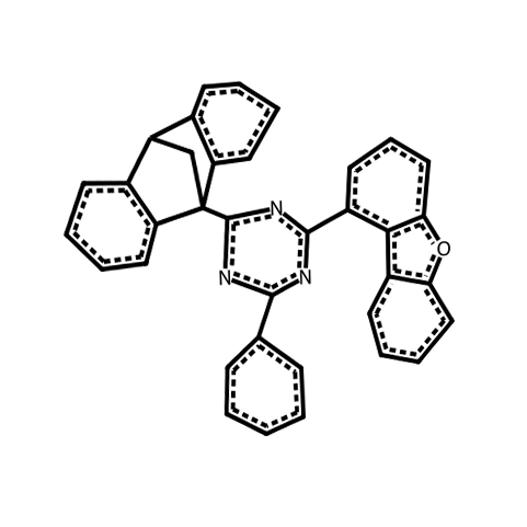 c1ccc(-c2nc(-c3cccc4oc5ccccc5c34)nc(C34CC(c5ccccc53)c3ccccc34)n2)cc1